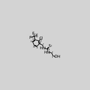 OCCNC(=S)NCc1cccc(C(F)(F)F)c1Cl